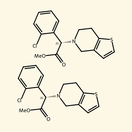 COC(=O)[C@H](c1ccccc1Cl)N1CCc2sccc2C1.COC(=O)[C@H](c1ccccc1Cl)N1CCc2sccc2C1